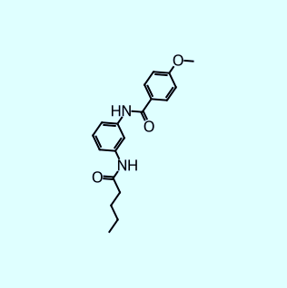 CCCCC(=O)Nc1cccc(NC(=O)c2ccc(OC)cc2)c1